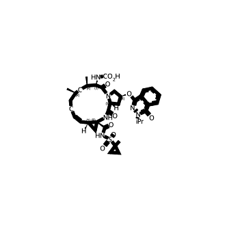 CC(C)n1nc(O[C@@H]2C[C@H]3C(=O)N[C@]4(C(=O)NS(=O)(=O)C5(C)CC5)C[C@H]4C=CCC[C@@H](C)C[C@@H](C)[C@H](NC(=O)O)C(=O)N3C2)c2ccccc2c1=O